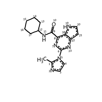 Cc1nccn1-c1nc(C(=O)NC2CCCCC2)c2[nH]ccc2n1